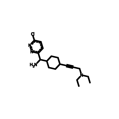 CCN(CC)CC#CC1CCC(C(N)c2ccc(Cl)nn2)CC1